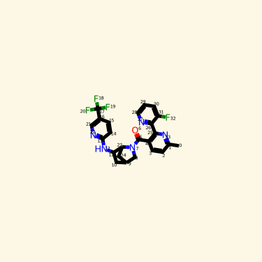 Cc1ccc(C(=O)N2CC3CC(Nc4ccc(C(F)(F)F)cn4)C2C3)c(-c2ncccc2F)n1